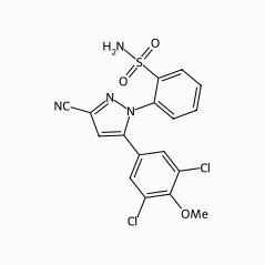 COc1c(Cl)cc(-c2cc(C#N)nn2-c2ccccc2S(N)(=O)=O)cc1Cl